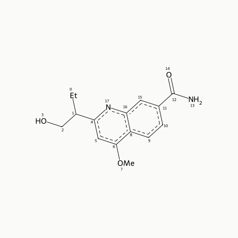 CCC(CO)c1cc(OC)c2ccc(C(N)=O)cc2n1